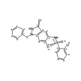 O=c1[nH]n(Cc2ccccc2)c2cc(Cl)c(NS(=O)(=O)c3ccccc3Cl)cc12